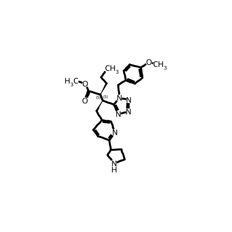 CCC[C@H](C(=O)OC)[C@H](Cc1ccc(C2CCNC2)nc1)c1nnnn1Cc1ccc(OC)cc1